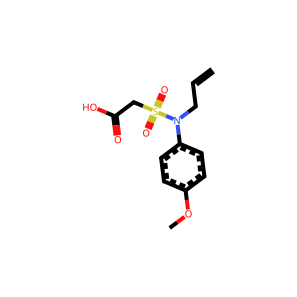 C=CCN(c1ccc(OC)cc1)S(=O)(=O)CC(=O)O